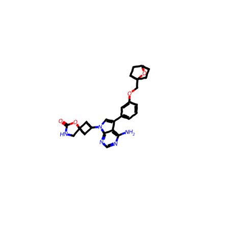 Nc1ncnc2c1c(-c1cccc(OCC34CCC(CC3)O4)c1)cn2C1CC2(CNC(=O)O2)C1